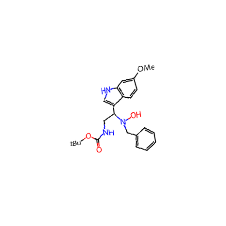 COc1ccc2c(C(CNC(=O)OC(C)(C)C)N(O)Cc3ccccc3)c[nH]c2c1